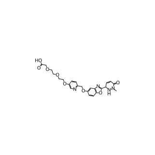 CN1NC(c2nc3cc(OCc4ccc(OCCOCCOCC(=O)O)cn4)ccc3o2)C=CC1=O